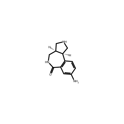 Nc1ccc2c(c1)C(=O)NC[C@H]1CNC[C@@H]21